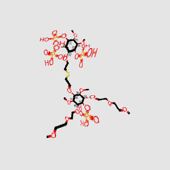 COCCOCCO[C@@H]1[C@@H](OC)[C@@H](OCCSCCO[C@H]2[C@@H](OP(=O)(O)O)[C@H](OC)[C@@H](OC)[C@H](OP(=O)(O)O)[C@H]2OP(=O)(O)O)[C@@H](OC)[C@H](OCCOCCOC)[C@H]1OP(=O)(O)O